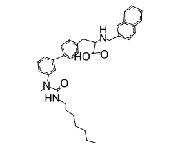 CCCCCCCNC(=O)N(C)c1cccc(-c2ccc(CC(NCc3ccc4ccccc4c3)C(=O)O)cc2)c1